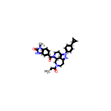 C=CC(=O)N1CCc2nn(-c3ccc(C4CC4)cc3)c3c2[C@@H](C1)N(C(=O)c1ccc2c(c1)[nH]c(=O)n2C)CC3